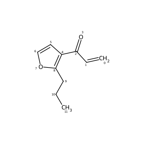 C=CC(=O)c1ccoc1CCC